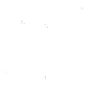 Cc1cc2ncn(CCBr)c2cc1C